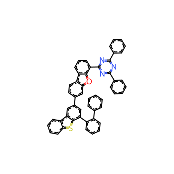 c1ccc(-c2nc(-c3ccccc3)nc(-c3cccc4c3oc3cc(-c5cc(-c6ccccc6-c6ccccc6)c6sc7ccccc7c6c5)ccc34)n2)cc1